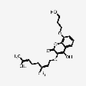 CC(C)=CCCC(C)=CCOc1c(O)c2cccc(OCCCO)c2oc1=O